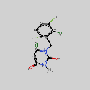 Cn1c(=O)cc(Cl)n(Cc2c(F)ccc(F)c2Cl)c1=O